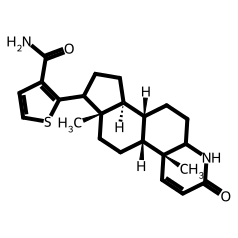 C[C@]12C=CC(=O)NC1CC[C@@H]1[C@H]2CC[C@]2(C)C(c3sccc3C(N)=O)CC[C@@H]12